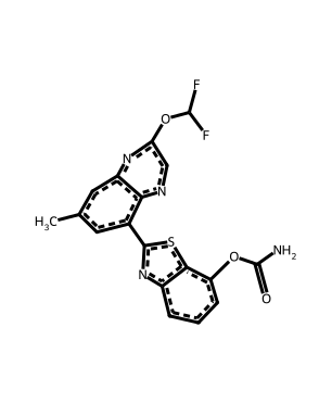 Cc1cc(-c2nc3cccc(OC(N)=O)c3s2)c2ncc(OC(F)F)nc2c1